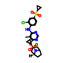 Cc1c(Nc2ccc(S(=O)(=O)C3CC3)cc2Cl)ncnc1OC1CC2CC[C@@H](C1)N2S(=O)(=O)C1CC1